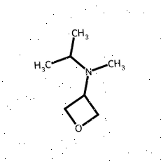 CC(C)N(C)C1COC1